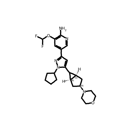 Nc1ncc(-c2cc(C3[C@H]4C[C@@H](N5CCOCC5)C[C@@H]34)n(C3CCCC3)n2)cc1OC(F)F